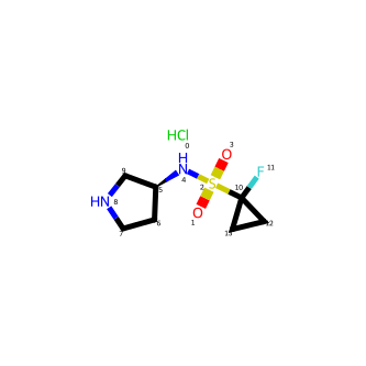 Cl.O=S(=O)(N[C@H]1CCNC1)C1(F)CC1